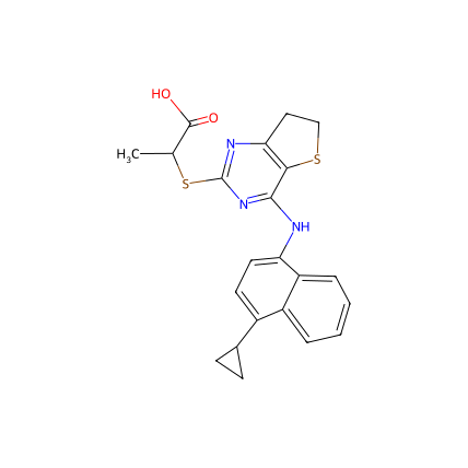 CC(Sc1nc2c(c(Nc3ccc(C4CC4)c4ccccc34)n1)SCC2)C(=O)O